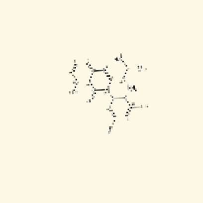 CC(C)[C@H](N)c1nc2cccc(Cl)c2c(=O)n1-c1cc(F)cc(F)c1